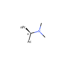 CCC[C@H](C(C)=O)N(C)C